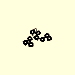 c1cc(-c2ccc(N(c3ccc4c5ccccc5c5ccccc5c4c3)c3cccc4oc5ccccc5c34)cc2)cc(-c2cccc3ccccc23)c1